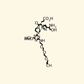 C#CCOCCOCCOCCNc1nc(OC)nc(N2CCN(C(=O)[C@H](CCC(=O)O)n3cc(C(N)CO)nn3)CC2)n1.Cl